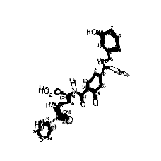 O=C(NCc1cccc(O)c1)c1ccc(C(=O)N[C@@H](CNC(=O)[C@@H]2CSCN2)C(=O)O)c(Cl)c1